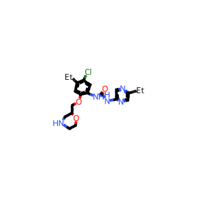 CCc1cnc(NC(=O)Nc2cc(Cl)c(CC)cc2OCC2CNCCO2)cn1